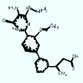 CCOc1cc(-c2cccc(C(C)CC(=O)O)c2)ccc1-c1nc(NN)c(N)c(=O)[nH]1